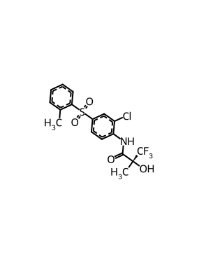 Cc1ccccc1S(=O)(=O)c1ccc(NC(=O)[C@@](C)(O)C(F)(F)F)c(Cl)c1